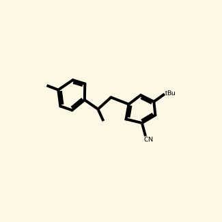 Cc1ccc(C(C)Cc2cc(C#N)cc(C(C)(C)C)c2)cc1